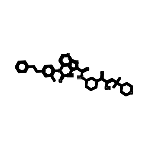 Cc1cc(CCc2ccccc2)ccc1N1C(=O)Nc2c(C(=O)N[C@@H]3CCCN(C(=O)/C(C#N)=C/C(C)(C)N4CCOCC4)C3)sc3nccc1c23